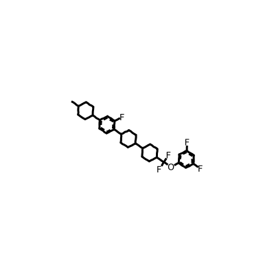 CC1CCC(c2ccc(C3CCC(C4CCC(C(F)(F)Oc5cc(F)cc(F)c5)CC4)CC3)c(F)c2)CC1